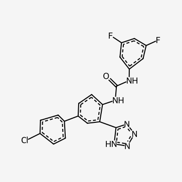 O=C(Nc1cc(F)cc(F)c1)Nc1ccc(-c2ccc(Cl)cc2)cc1-c1nnn[nH]1